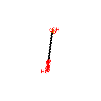 O=S(=O)(O)CCCCCCCCCCCCCCCCCCCOOOOOOOO